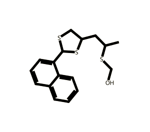 CC(CC1CSC(c2cccc3ccccc23)S1)SCO